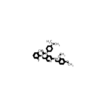 COc1ccc(CNc2cc3c(cn2)CN(c2c(C)cccc2F)C(=O)N3C2CCC(N(C)C)CC2)c(OC)c1